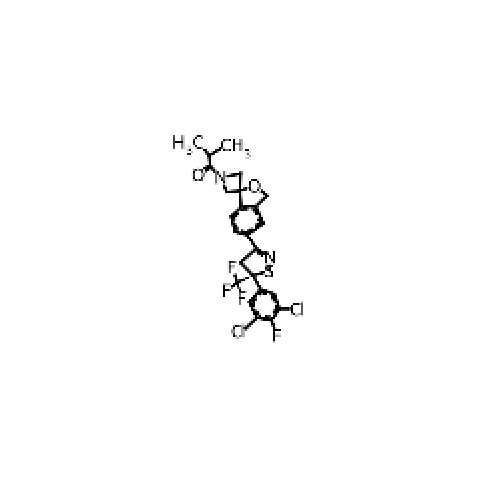 CC(C)C(=O)N1CC2(C1)OCc1cc(C3=NS[C@@](c4cc(Cl)c(F)c(Cl)c4)(C(F)(F)F)C3)ccc12